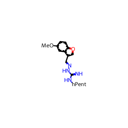 CCCCCNC(=N)N/N=C/c1coc2ccc(OC)cc12